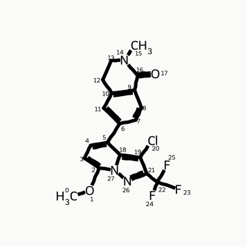 COc1ccc(-c2ccc3c(c2)CCN(C)C3=O)c2c(Cl)c(C(F)(F)F)nn12